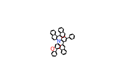 c1ccc(-c2ccc(N(c3ccc4c(c3)oc3ccccc34)c3ccc4ccccc4c3-c3cccc4ccccc34)c(-c3ccc4ccccc4c3)c2)cc1